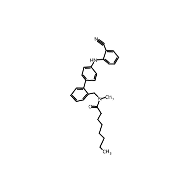 CCCCCCCC(=O)N(C)Cc1ccccc1-c1ccc(Nc2ccccc2C#N)cc1